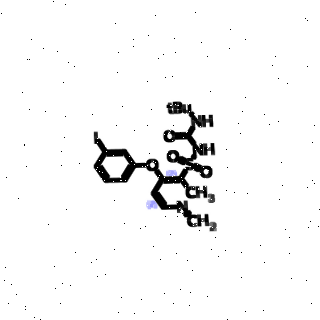 C=N/C=C\C(Oc1cccc(I)c1)=C(/C)S(=O)(=O)NC(=O)NC(C)(C)C